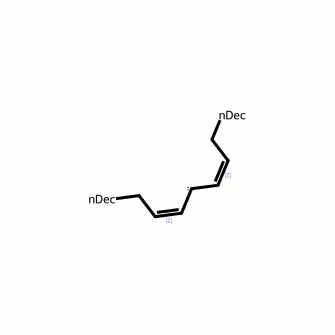 CCCCCCCCCCC/C=C\[C]/C=C\CCCCCCCCCCC